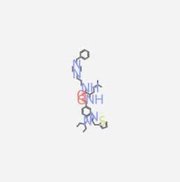 CCC(CC)n1c(Cc2cccs2)nc2cc(C(=O)NC(CCC(C)C)C(=O)NCCCN3CCN(Cc4ccccc4)CC3)ccc21